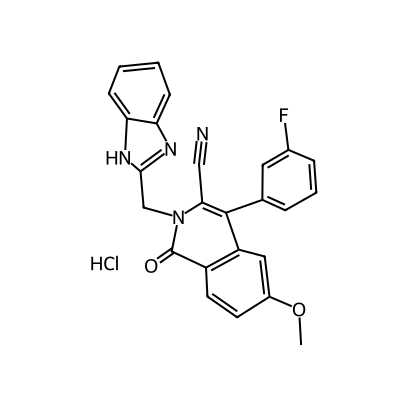 COc1ccc2c(=O)n(Cc3nc4ccccc4[nH]3)c(C#N)c(-c3cccc(F)c3)c2c1.Cl